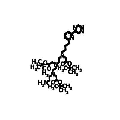 CC(C)(C)OC(=O)CN(CCN)CCN(CCN(CCCCc1cccc(-c2cnncn2)n1)CC(=O)OC(C)(C)C)CC(=O)OC(C)(C)C